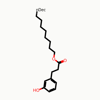 CCCCCCCCCCCCCCCCCCOC(=O)CCc1cccc(O)c1